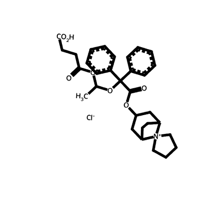 CC(OC(=O)CCC(=O)O)OC(C(=O)OC1CC2CCC(C1)[N+]21CCCC1)(c1ccccc1)c1ccccc1.[Cl-]